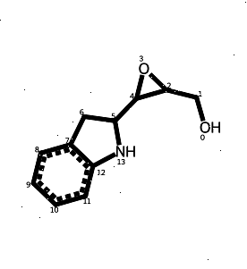 OCC1OC1C1Cc2ccccc2N1